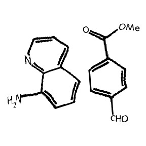 COC(=O)c1ccc(C=O)cc1.Nc1cccc2cccnc12